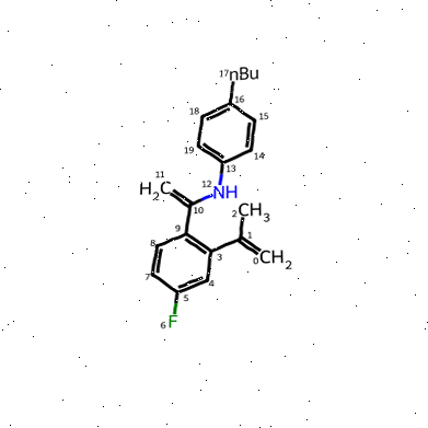 C=C(C)c1cc(F)ccc1C(=C)Nc1ccc(CCCC)cc1